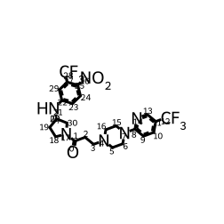 O=C(CCN1CCN(c2ccc(C(F)(F)F)cn2)CC1)N1CC[C@@H](Nc2ccc([N+](=O)[O-])c(C(F)(F)F)c2)C1